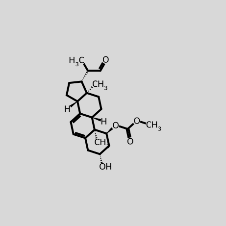 COC(=O)O[C@H]1C[C@H](O)CC2=CC=C3[C@@H]4CC[C@H](C(C)C=O)[C@@]4(C)CC[C@@H]3[C@]21C